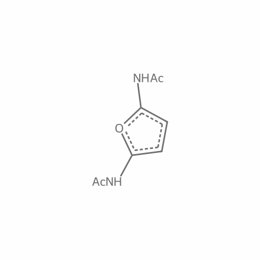 CC(=O)Nc1ccc(NC(C)=O)o1